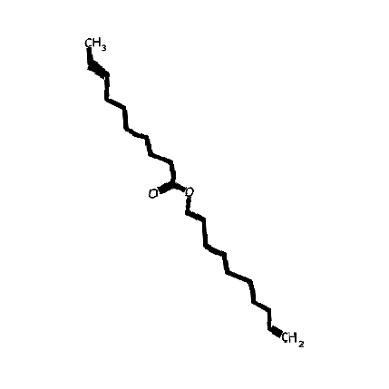 C=CCCCCCCCCOC(=O)CCCCCCC=CC